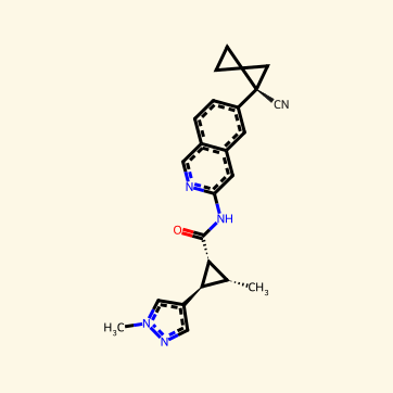 C[C@H]1[C@@H](C(=O)Nc2cc3cc([C@@]4(C#N)CC45CC5)ccc3cn2)[C@@H]1c1cnn(C)c1